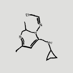 CC/C=N\N1C(NC2CC2)=CC(C)=NC1C